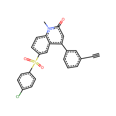 C#Cc1cccc(-c2cc(=O)n(C)c3ccc(S(=O)(=O)c4ccc(Cl)cc4)cc23)c1